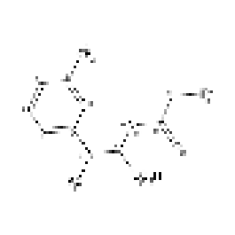 CC(=O)N(c1cccc(C(F)(F)F)c1)C(NC(=O)CC(C)C)C(=O)O